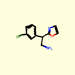 NCC(c1cccc(Cl)c1)c1ncco1